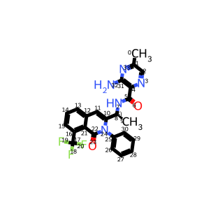 Cc1cnc(C(=O)N[C@@H](C)c2cc3cccc(C(F)(F)F)c3c(=O)n2-c2ccccc2)c(N)n1